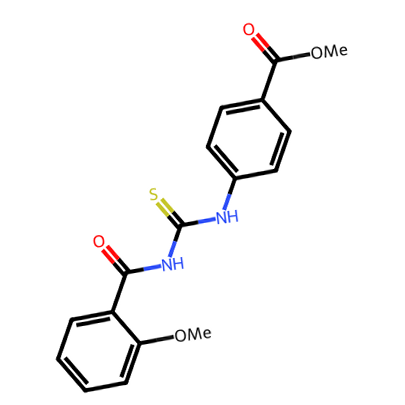 COC(=O)c1ccc(NC(=S)NC(=O)c2ccccc2OC)cc1